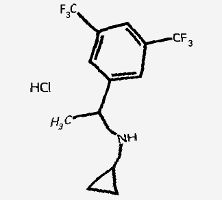 CC(NC1CC1)c1cc(C(F)(F)F)cc(C(F)(F)F)c1.Cl